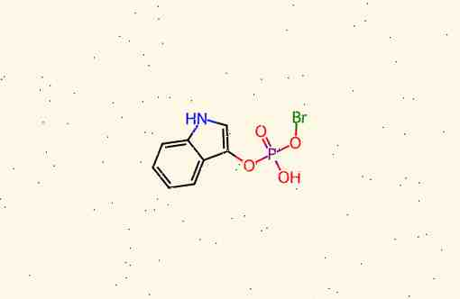 O=P(O)(OBr)Oc1c[nH]c2ccccc12